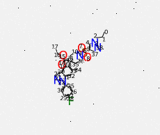 CCCn1cc(S(=O)(=O)N2CCC(C(=O)OCC)(c3cc4cnn(-c5ccc(F)cc5)c4cc3C)CC2)cn1